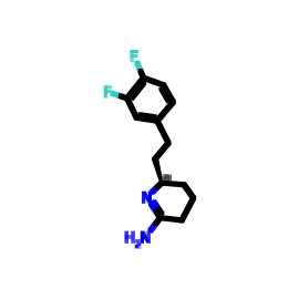 NC1=N[C@@H](CCc2ccc(F)c(F)c2)CCC1